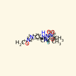 C=CC(=O)N1CCN(Cc2ccc([C@H](C)Nc3nc(F)cc(N4C(=O)OCC4C(C)OC)n3)cc2)CC1